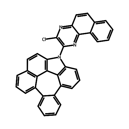 Clc1nc2ccc3ccccc3c2nc1-n1c2cccc3c2c2c4c(cccc4ccc21)-c1ccccc1-3